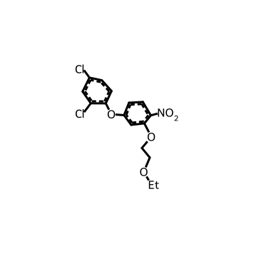 CCOCCOc1cc(Oc2ccc(Cl)cc2Cl)ccc1[N+](=O)[O-]